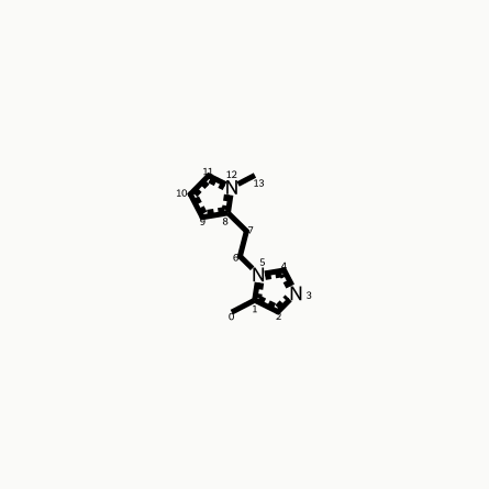 Cc1cncn1CCc1cccn1C